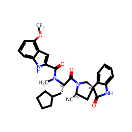 CN(C(=O)c1cc2c(OC(F)(F)F)cccc2[nH]1)[C@@H](CC1CCCC1)C(=O)N1C[C@]2(C[C@H]1C#N)C(=O)Nc1ccccc12